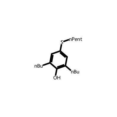 CCCCCSc1cc(CCCC)c(O)c(CCCC)c1